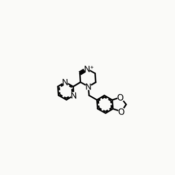 C1#[N+]CCN(Cc2ccc3c(c2)OCO3)C1c1ncccn1